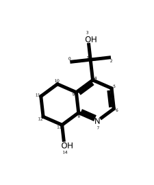 CC(C)(O)c1ccnc2c1CCCC2O